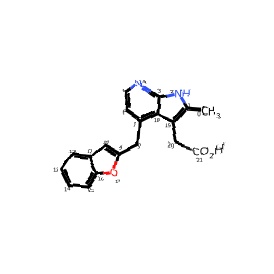 Cc1[nH]c2nccc(Cc3cc4ccccc4o3)c2c1CC(=O)O